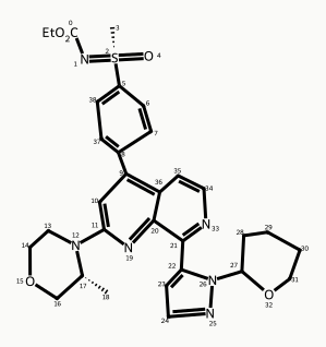 CCOC(=O)N=[S@@](C)(=O)c1ccc(-c2cc(N3CCOC[C@H]3C)nc3c(-c4ccnn4C4CCCCO4)nccc23)cc1